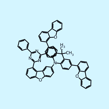 CC1(C)c2cc(-c3cccc4c3oc3ccccc34)ccc2N(c2ccc3oc4cccc(-c5nc(-c6ccccc6)nc(-c6ccccc6)n5)c4c3c2)c2ccc(-c3cccc4c3oc3ccccc34)cc21